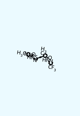 Cc1ccc(C(=O)Nc2cc(C(F)(F)F)ccn2)cc1C#Cc1cnc(NC(=O)N2CCN(C)CC2)s1